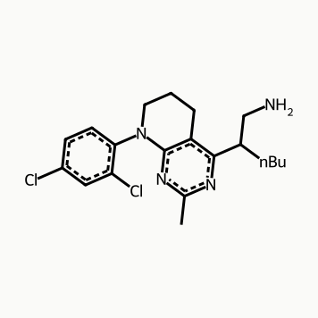 CCCCC(CN)c1nc(C)nc2c1CCCN2c1ccc(Cl)cc1Cl